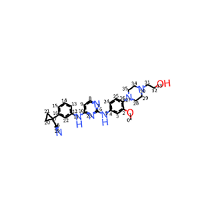 COc1cc(Nc2nccc(Nc3cccc(C4(C#N)CC4)c3)n2)ccc1N1CCN(CCO)CC1